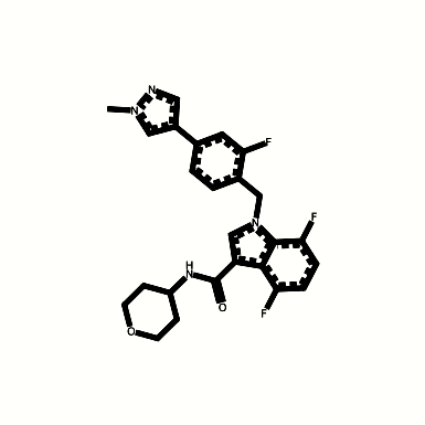 Cn1cc(-c2ccc(Cn3cc(C(=O)NC4CCOCC4)c4c(F)ccc(F)c43)c(F)c2)cn1